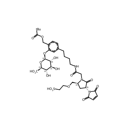 CC(C)(C)C(=O)OCc1ccc(CCCCNC(=O)CN2C(=O)[C@H](N3C(=O)C=CC3=O)C[C@H]2COCCS(=O)(=O)O)cc1O[C@@H]1O[C@H](C(=O)O)[C@@H](O)[C@H](O)[C@H]1O